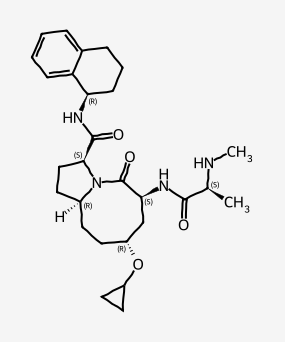 CN[C@@H](C)C(=O)N[C@H]1C[C@H](OC2CC2)CC[C@H]2CC[C@@H](C(=O)N[C@@H]3CCCc4ccccc43)N2C1=O